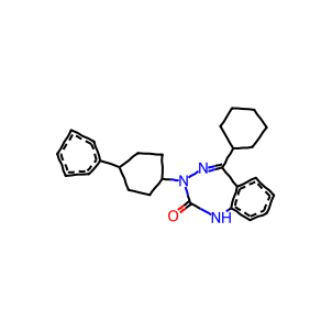 O=C1Nc2ccccc2C(C2CCCCC2)=NN1C1CCC(c2ccccc2)CC1